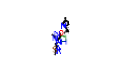 Cc1ccc([C@H]2C[C@@H]2COc2nc(C)nc(NCc3nnc(C)s3)c2Cl)nc1